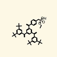 C=C(c1ccc(CP(=O)(O)OCC)cc1)c1cc(C(=C)c2cc(C(C)(C)C)cc(C(C)(C)C)c2)cc(C(=C)c2cc(C(C)(C)C)cc(C(C)(C)C)c2)c1